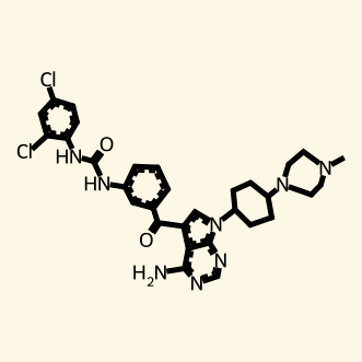 CN1CCN(C2CCC(n3cc(C(=O)c4cccc(NC(=O)Nc5ccc(Cl)cc5Cl)c4)c4c(N)ncnc43)CC2)CC1